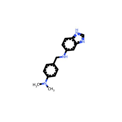 CN(C)c1ccc(CNc2ccc3[nH]cnc3c2)cc1